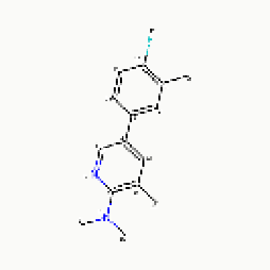 Cc1cc(-c2cnc(N(C)C)c(C)c2)ccc1F